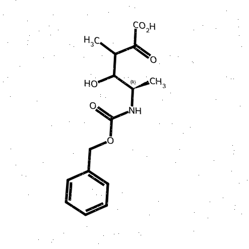 CC(C(=O)C(=O)O)C(O)[C@@H](C)NC(=O)OCc1ccccc1